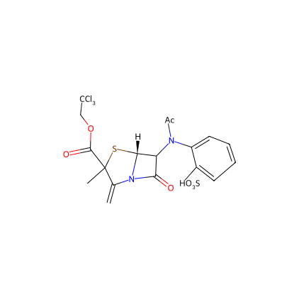 C=C1N2C(=O)C(N(C(C)=O)c3ccccc3S(=O)(=O)O)[C@H]2SC1(C)C(=O)OCC(Cl)(Cl)Cl